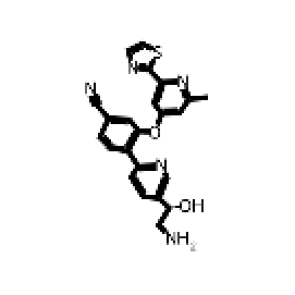 Cc1cc(Oc2cc(C#N)ccc2-c2ccc([C@H](O)CN)cn2)cc(-c2nccs2)n1